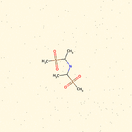 CC([N]C(C)S(C)(=O)=O)S(C)(=O)=O